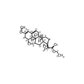 CCOC(=O)C(F)=C1CC[C@H]2[C@@H]3CC=C4C=C(OC)C[C@H](C)[C@]4(C)[C@H]3CC[C@]12C